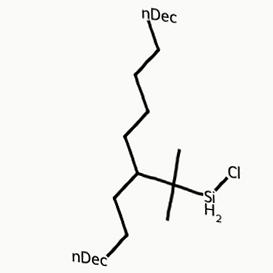 CCCCCCCCCCCCCCC(CCCCCCCCCCCC)C(C)(C)[SiH2]Cl